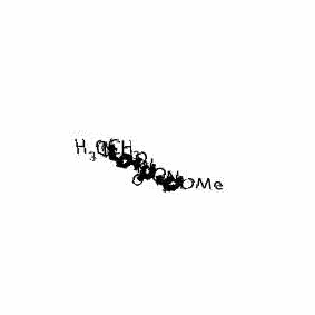 COc1ccc(COc2cnn(CC(=O)c3ccc(CN(C)C)cc3)c(=O)c2)nc1